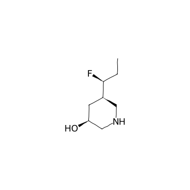 CC[C@H](F)[C@H]1CNC[C@@H](O)C1